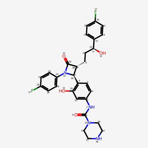 O=C(Nc1ccc([C@@H]2[C@@H](CC[C@H](O)c3ccc(F)cc3)C(=O)N2c2ccc(F)cc2)c(O)c1)N1CCNCC1